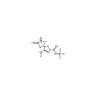 COC(=O)C1(CCC(=O)OC(C)(C)C)CNC(=O)C1